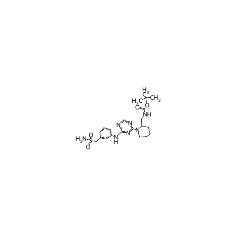 CC(C)(C)OC(=O)NCC1CCCCN1c1ncnc(Nc2cccc(CS(N)(=O)=O)c2)n1